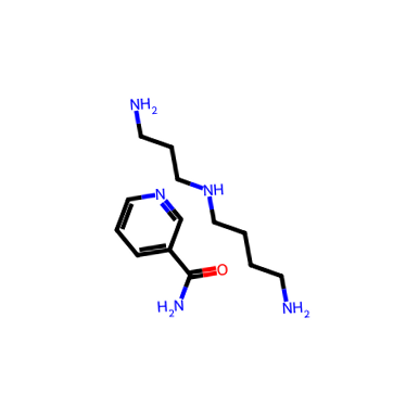 NC(=O)c1cccnc1.NCCCCNCCCN